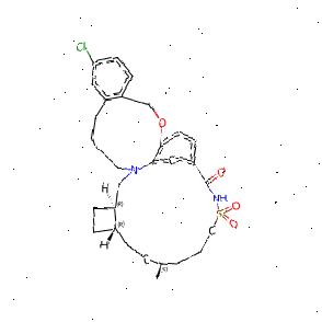 C[C@@H]1CCCS(=O)(=O)NC(=O)c2ccc3c(c2)N(CCCCc2cc(Cl)ccc2CO3)C[C@@H]2CC[C@H]2CC1